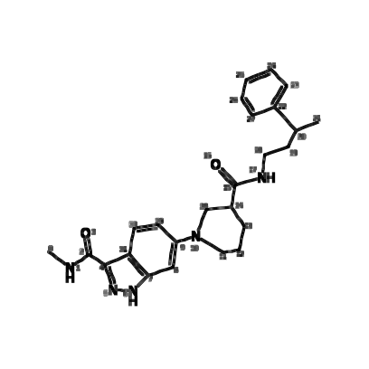 CNC(=O)c1n[nH]c2cc(N3CCCC(C(=O)NCCC(C)c4ccccc4)C3)ccc12